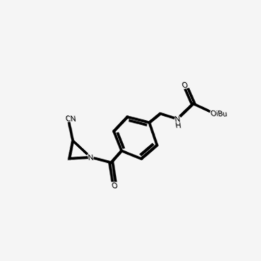 CC(C)COC(=O)NCc1ccc(C(=O)N2CC2C#N)cc1